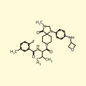 Cc1ccc(F)c(C(=O)N[C@@H](C(=O)N2CCC3(CC2)C(=O)N(C)CN3c2ccc(NC3COC3)cc2)C(C)C)c1